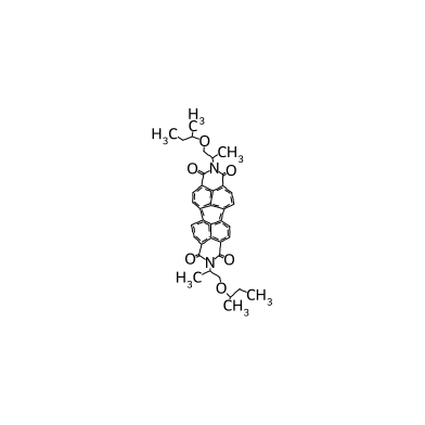 CCC(C)OCC(C)N1C(=O)c2ccc3c4ccc5c6c(ccc(c7ccc(c2c37)C1=O)c64)C(=O)N(C(C)COC(C)CC)C5=O